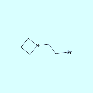 CC(C)CCN1CCC1